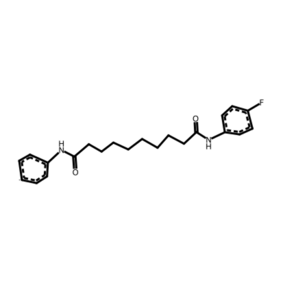 O=C(CCCCCCCCC(=O)Nc1ccc(F)cc1)Nc1cc[c]cc1